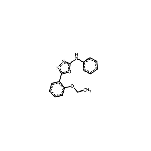 CCOc1ccccc1-c1nnc(Nc2ccccc2)o1